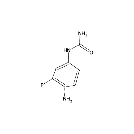 NC(=O)Nc1ccc(N)c(F)c1